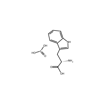 N[C@@H](Cc1c[nH]c2ccccc12)C(=O)O.O=S(O)O